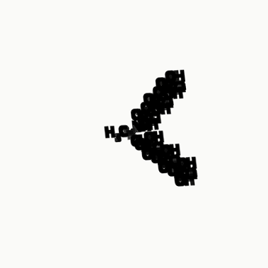 CC(C)=N.[O]=[Sb]([OH])([OH])[Cl].[O]=[Sb]([OH])([OH])[Cl].[O]=[Sb]([OH])([OH])[Cl].[O]=[Sb]([OH])([OH])[Cl].[O]=[Sb]([OH])([OH])[Cl].[O]=[Sb]([OH])([OH])[Cl]